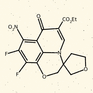 CCOC(=O)c1cn2c3c(c(F)c(F)c([N+](=O)[O-])c3c1=O)OCC21CCOC1